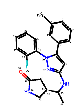 CCCc1cccc(-c2cc(NC(C)[C@H]3CNC(=O)C3)nn2-c2ccccc2F)c1